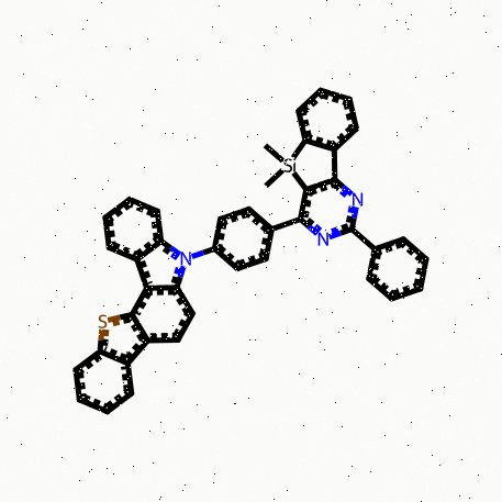 C[Si]1(C)c2ccccc2-c2nc(-c3ccccc3)nc(-c3ccc(-n4c5ccccc5c5c6sc7ccccc7c6ccc54)cc3)c21